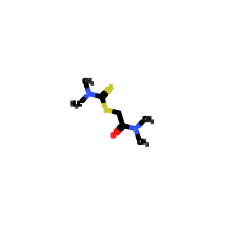 CN(C)C(=O)CSC(=S)N(C)C